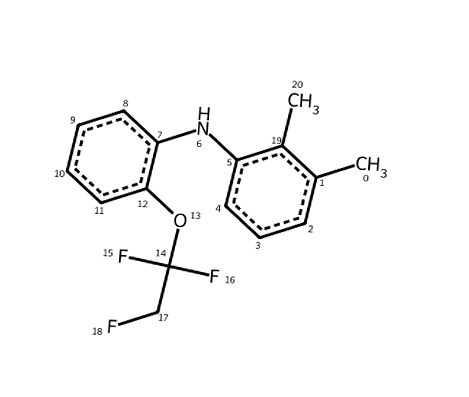 Cc1cccc(Nc2ccccc2OC(F)(F)CF)c1C